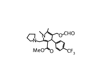 COC(=O)C1=C(CN2CCCC2)N(C)C(C)=C(COC=O)C1c1ccc(C(F)(F)F)cc1